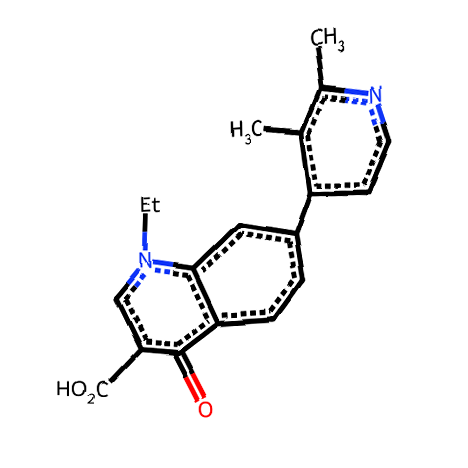 CCn1cc(C(=O)O)c(=O)c2ccc(-c3ccnc(C)c3C)cc21